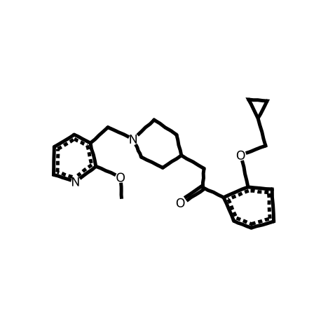 COc1ncccc1CN1CCC(CC(=O)c2ccccc2OCC2CC2)CC1